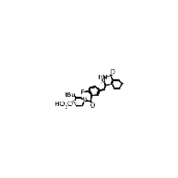 CC(C)(C)C1CN(C(=O)c2cc(Cc3n[nH]c(=O)c4c3CCCC4)ccc2F)CCN1C(=O)O